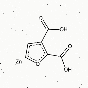 O=C(O)c1ccoc1C(=O)O.[Zn]